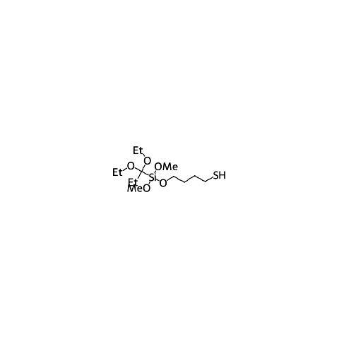 CCOC(CC)(OCC)[Si](OC)(OC)OCCCCS